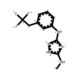 CNc1nc(Nc2cccc(CC(F)(F)F)c2)n[nH]1